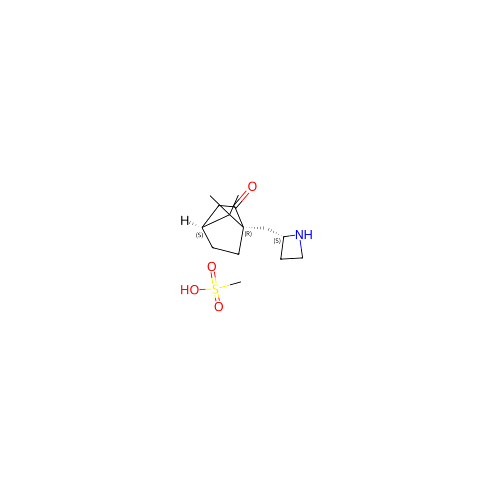 CC1(C)[C@H]2CC[C@]1(C[C@H]1CCN1)C(=O)C2.CS(=O)(=O)O